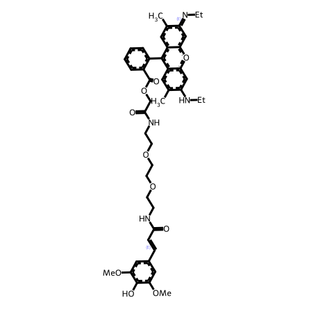 CC/N=c1\cc2oc3cc(NCC)c(C)cc3c(-c3ccccc3C(=O)OCC(=O)NCCOCCOCCNC(=O)/C=C/c3cc(OC)c(O)c(OC)c3)c-2cc1C